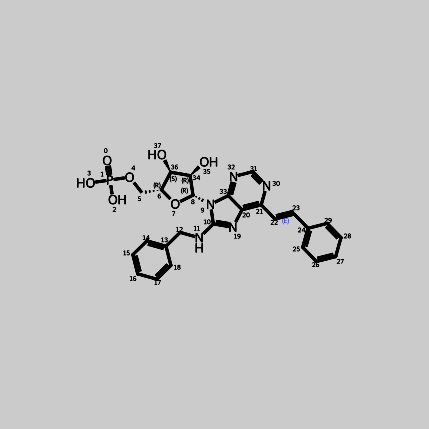 O=P(O)(O)OC[C@H]1O[C@@H](n2c(NCc3ccccc3)nc3c(/C=C/c4ccccc4)ncnc32)[C@H](O)[C@@H]1O